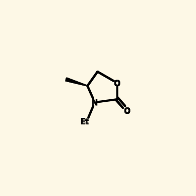 CCN1C(=O)OC[C@@H]1C